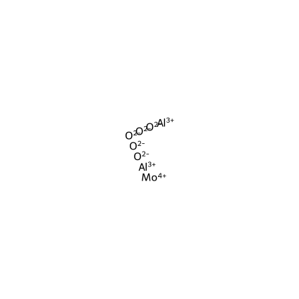 [Al+3].[Al+3].[Mo+4].[O-2].[O-2].[O-2].[O-2].[O-2]